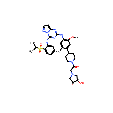 COc1cc(C2CCN(C(=O)CN3C[C@@H](O)[C@H](O)C3)CC2)c(C)cc1Nc1nc(Nc2ccccc2S(=O)(=O)C(C)C)n2nccc2n1